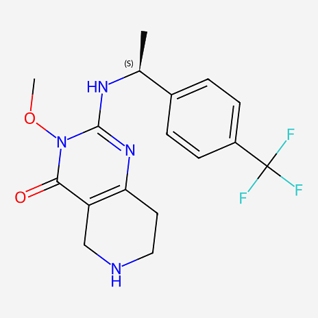 COn1c(N[C@@H](C)c2ccc(C(F)(F)F)cc2)nc2c(c1=O)CNCC2